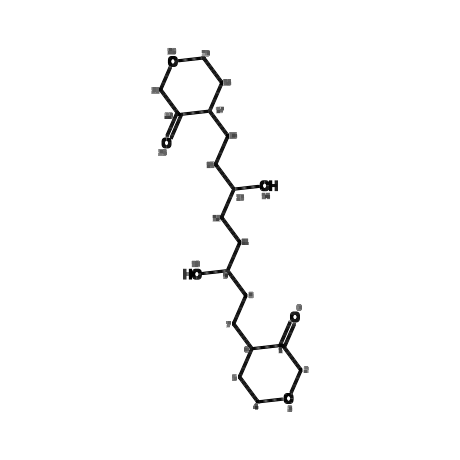 O=C1COCCC1CCC(O)CCC(O)CCC1CCOCC1=O